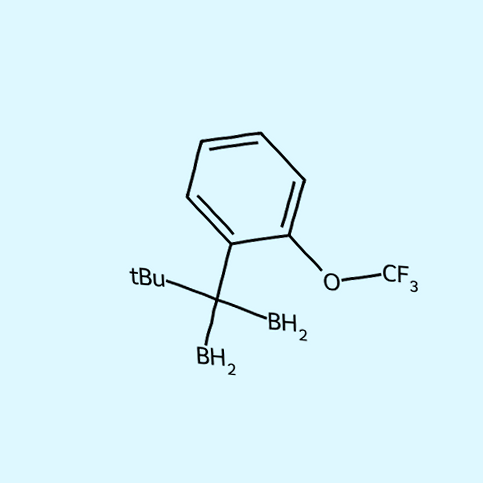 BC(B)(c1ccccc1OC(F)(F)F)C(C)(C)C